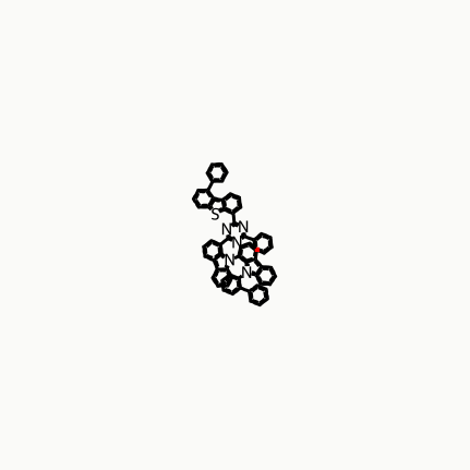 c1ccc(-c2nc(-c3cccc4c3sc3cccc(-c5ccccc5)c34)nc(-c3cccc4c5ccccc5n(-c5cccc6c7ccccc7n(-c7ccccc7-c7ccccc7)c56)c34)n2)cc1